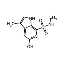 CNS(=O)(=O)c1nc(O)cc2c(C)c[nH]c12